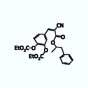 CCOC(=O)Oc1ccc(C=C(C#N)C(=O)OC(C)Cc2ccccc2)cc1OC(=O)OCC